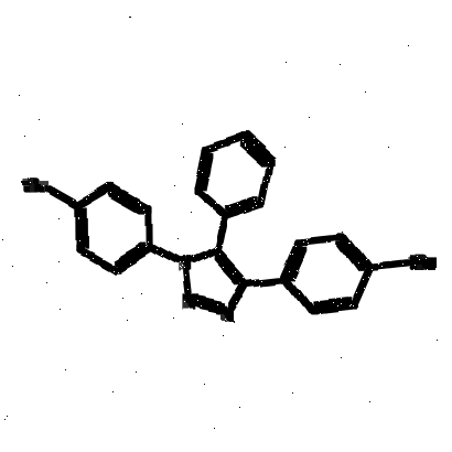 CC(C)(C)c1ccc(-c2nnn(-c3ccc(C(C)(C)C)cc3)c2-c2ccccc2)cc1